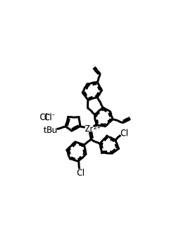 C=Cc1ccc2c(c1)-c1cc(C=C)c[c]([Zr+2]([C]3=CC(C(C)(C)C)=CC3)=[C](c3cccc(Cl)c3)c3cccc(Cl)c3)c1C2.[Cl-].[Cl-]